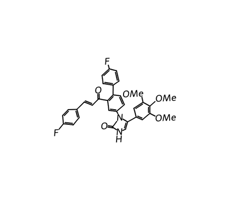 COc1cc(-c2c[nH]c(=O)n2-c2ccc(-c3ccc(F)cc3)c(C(=O)/C=C/c3ccc(F)cc3)c2)cc(OC)c1OC